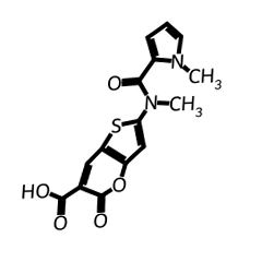 CN(C(=O)c1cccn1C)c1cc2oc(=O)c(C(=O)O)cc2s1